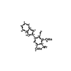 COc1cc(-c2nc3ccccc3o2)c(F)c(OC)c1C(C)C